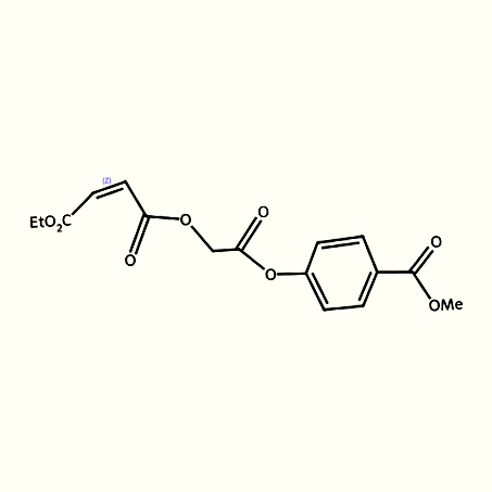 CCOC(=O)/C=C\C(=O)OCC(=O)Oc1ccc(C(=O)OC)cc1